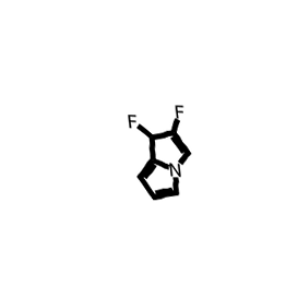 FC1=Cn2cccc2C1F